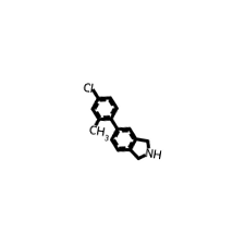 Cc1cc(Cl)ccc1-c1ccc2c(c1)CNC2